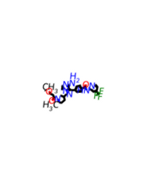 CCOCCC(=O)N1CC(c2nc(-c3ccc(C(=O)Nc4cc(C(F)(F)F)ccn4)cc3)c3c(N)nccn23)CCC1C